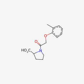 Cc1ccccc1OCC(=O)N1CCCC1C(=O)O